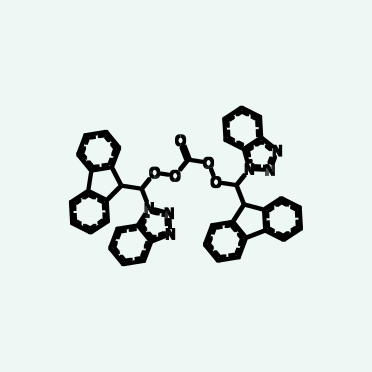 O=C(OOC(C1c2ccccc2-c2ccccc21)n1nnc2ccccc21)OOC(C1c2ccccc2-c2ccccc21)n1nnc2ccccc21